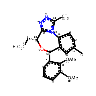 CCOC(=O)C[C@H]1O[C@H](c2cccc(OC)c2OC)c2cc(C)ccc2-n2c1nnc2C(F)(F)F